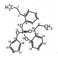 CCCc1ccccc1OP(=O)(Oc1ccccc1)Oc1ccccc1CCC